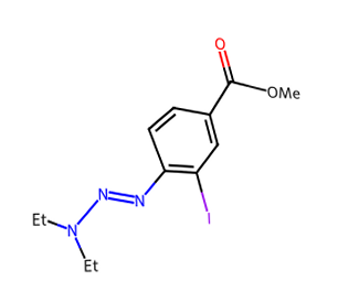 CCN(CC)N=Nc1ccc(C(=O)OC)cc1I